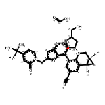 CC(C)(C)c1cnn(Cc2cc3nccc(-c4cc(C#N)cc5c4N([C@@H]4CN[C@@H](CO)C4)C[C@H]4C[C@@H]54)c3s2)c(=O)c1.O=CO